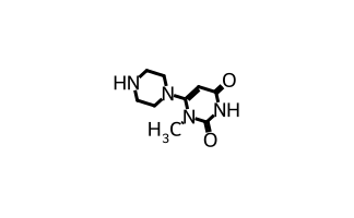 Cn1c(N2CCNCC2)cc(=O)[nH]c1=O